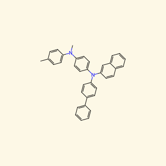 Cc1ccc(N(C)c2ccc(N(c3ccc(-c4ccccc4)cc3)c3ccc4ccccc4c3)cc2)cc1